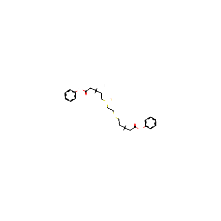 CC(C)(CC[S+]([O-])CC[S+]([O-])CCC(C)(C)CC(=O)Oc1ccccc1)CC(=O)Oc1ccccc1